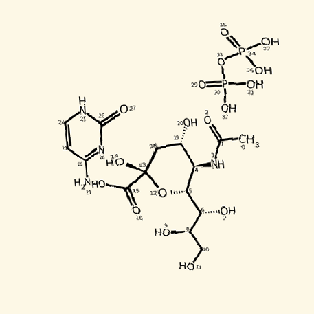 CC(=O)N[C@H]1[C@H]([C@H](O)[C@H](O)CO)O[C@](O)(C(=O)O)C[C@@H]1O.Nc1cc[nH]c(=O)n1.O=P(O)(O)OP(=O)(O)O